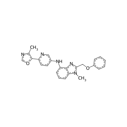 Cc1ncoc1-c1ccc(Nc2cccc3c2nc(COc2ccccc2)n3C)cn1